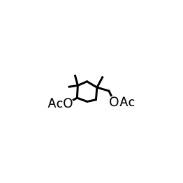 CC(=O)OCC1(C)CCC(OC(C)=O)C(C)(C)C1